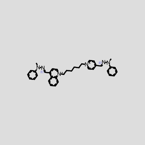 CN(/N=C/c1cc[n+](CCCCCC[n+]2ccc(/C=N/N(C)c3ccccc3)c3ccccc32)cc1)c1ccccc1